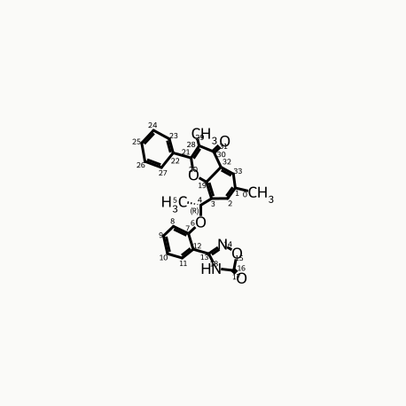 Cc1cc([C@@H](C)Oc2ccccc2-c2noc(=O)[nH]2)c2oc(-c3ccccc3)c(C)c(=O)c2c1